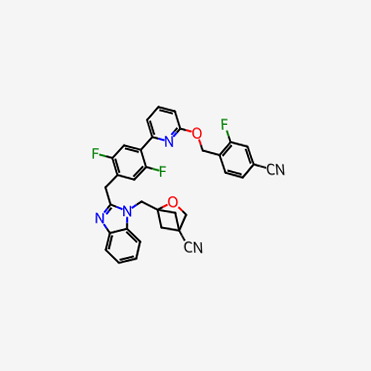 N#Cc1ccc(COc2cccc(-c3cc(F)c(Cc4nc5ccccc5n4CC45CC(C#N)(CO4)C5)cc3F)n2)c(F)c1